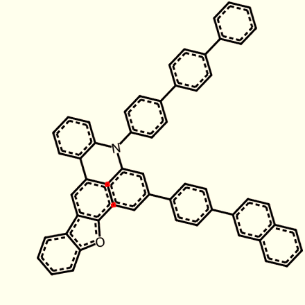 c1ccc(-c2ccc(-c3ccc(N(c4cccc(-c5ccc(-c6ccc7ccccc7c6)cc5)c4)c4ccccc4-c4ccc5oc6ccccc6c5c4)cc3)cc2)cc1